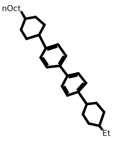 CCCCCCCCC1CCC(c2ccc(-c3ccc(C4CCC(CC)CC4)cc3)cc2)CC1